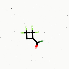 O=C(Cl)C1CC(F)(F)C1(F)F